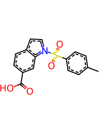 Cc1ccc(S(=O)(=O)n2ccc3ccc(C(=O)O)cc32)cc1